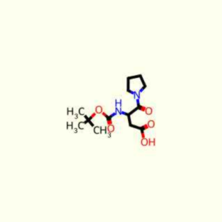 CC(C)(C)OC(=O)NC(CC(=O)O)C(=O)N1CCCC1